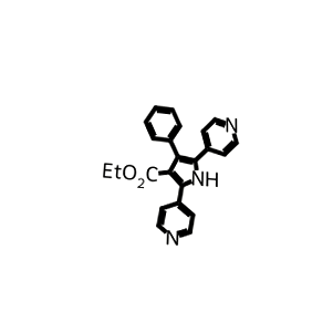 CCOC(=O)c1c(-c2ccncc2)[nH]c(-c2ccncc2)c1-c1ccccc1